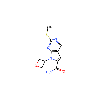 CSc1ncc2cc(C(N)=O)n(C3COC3)c2n1